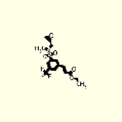 CCOC(=O)C=Cc1cc(C(F)(F)F)cc(S(=O)(=O)N(C)C[C@H]2CO2)c1